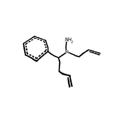 C=CCC(c1ccccc1)N(N)CC=C